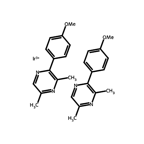 COc1ccc(-c2ncc(C)nc2C)cc1.COc1ccc(-c2ncc(C)nc2C)cc1.[Ir+3]